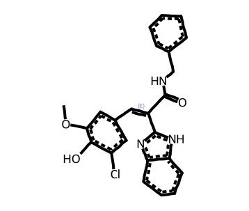 COc1cc(/C=C(/C(=O)NCc2ccccc2)c2nc3ccccc3[nH]2)cc(Cl)c1O